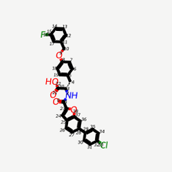 O=C(N[C@@H](Cc1ccc(OCc2cccc(F)c2)cc1)C(=O)O)c1cc2ccc(-c3ccc(Cl)cc3)cc2o1